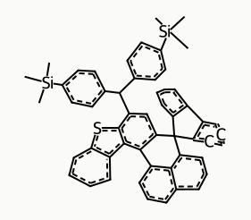 C[Si](C)(C)c1ccc(C(c2ccc([Si](C)(C)C)cc2)c2cc3c(c4c2sc2ccccc24)-c2cccc4cccc(c24)C32c3ccccc3-c3ccccc32)cc1